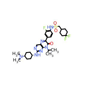 CC(C)n1c(=O)c(-c2ccc(NS(=O)(=O)CC3CCC(F)(F)CC3)c(F)c2)nc2cnc(N[C@H]3CC[C@H](N(C)C)CC3)nc21